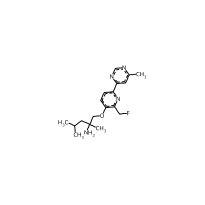 Cc1cc(-c2ccc(OCC(C)(N)CC(C)C)c(CF)n2)ncn1